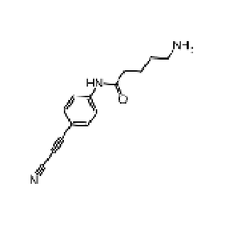 N#CC#Cc1ccc(NC(=O)CCCCN)cc1